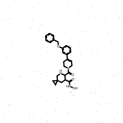 O=C(NO)C1CC2(CC2)CNC1C(=O)N1CC=C(c2cccc(OCc3ccccc3)c2)CC1